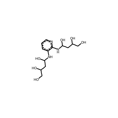 OCC(O)CC(O)Nc1cccnc1NC(O)CC(O)CO